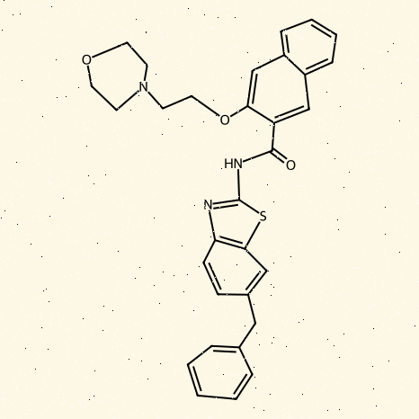 O=C(Nc1nc2ccc(Cc3ccccc3)cc2s1)c1cc2ccccc2cc1OCCN1CCOCC1